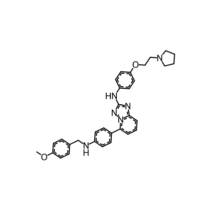 COc1ccc(CNc2ccc(-c3cccc4nc(Nc5ccc(OCCN6CCCC6)cc5)nn34)cc2)cc1